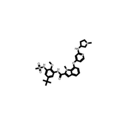 COc1c(NC(=O)c2cc3cccc(Oc4ccnc(NC5CCN(C)C5)c4)c3n2C)cc(C(C)(C)C)cc1NS(C)(=O)=O